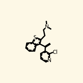 C=C(c1cccnc1Cl)c1c(CCN(C)C)sc2ccccc12